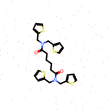 O=C(CCCCC(=O)N(Cc1cccs1)Cc1cccs1)N(Cc1cccs1)Cc1cccs1